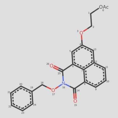 CC(=O)OCCOc1cc2c3c(cccc3c1)C(=O)N(OCc1ccccc1)C2=O